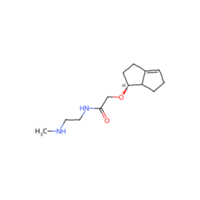 CNCCNC(=O)CO[C@H]1CCC2=CCCC21